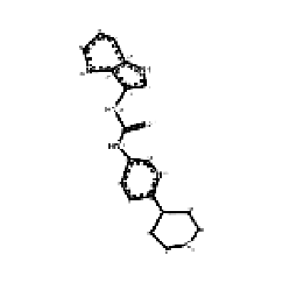 O=C(Nc1ccc(C2CCOCC2)nc1)Nc1c[nH]c2cccnc12